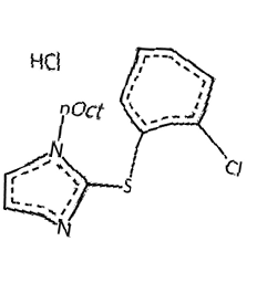 CCCCCCCCn1ccnc1Sc1ccccc1Cl.Cl